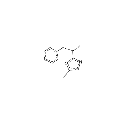 Cc1cnc(C(C)Cc2ccccc2)o1